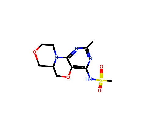 Cc1nc(NS(C)(=O)=O)c2c(n1)N1CCOCC1CO2